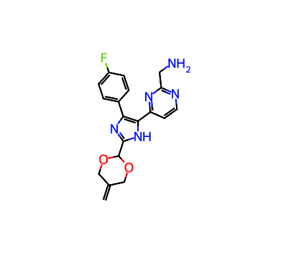 C=C1COC(c2nc(-c3ccc(F)cc3)c(-c3ccnc(CN)n3)[nH]2)OC1